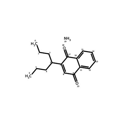 CCCC(CCC)C1=CC(=O)c2ccccc2C1=O.N